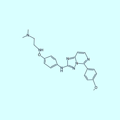 COc1ccc(-c2nccc3nc(Nc4ccc(ONCCN(C)C)cc4)nn23)cc1